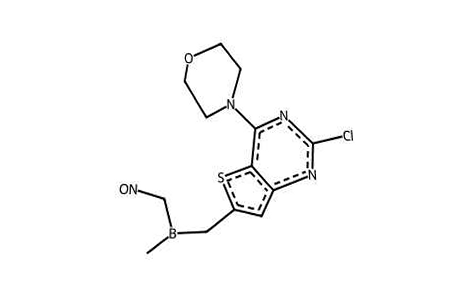 CB(CN=O)Cc1cc2nc(Cl)nc(N3CCOCC3)c2s1